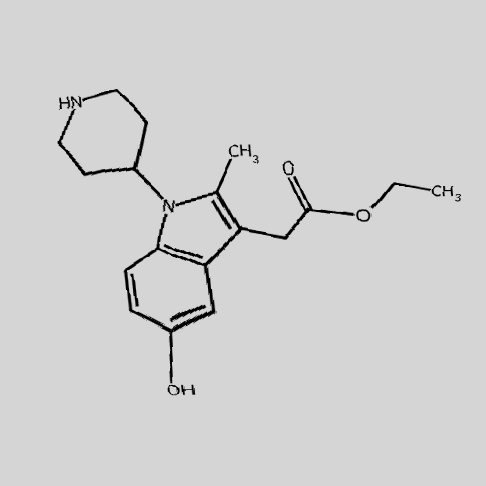 CCOC(=O)Cc1c(C)n(C2CCNCC2)c2ccc(O)cc12